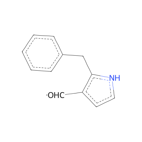 O=[C]c1cc[nH]c1Cc1ccccc1